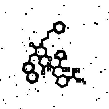 N=C(N)N1CCCC(CC(NC(=O)CN2C(=O)CN(CCCc3ccccc3)C(=O)C2Cc2ccc3ccccc3c2)C(O)c2nccs2)C1